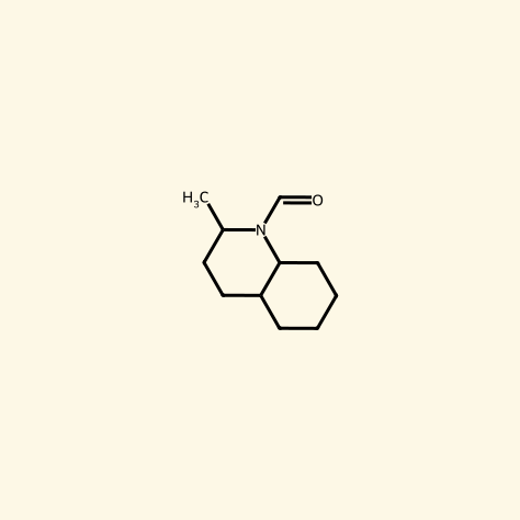 CC1CCC2CCCCC2N1C=O